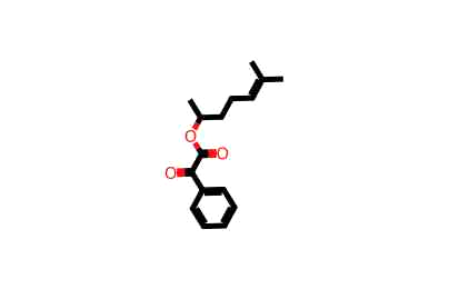 CC(C)=CCCC(C)OC(=O)C(=O)c1ccccc1